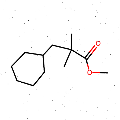 COC(=O)C(C)(C)CC1CCCCC1